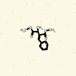 COC(=O)C(=Cc1ccccc1)C(C)C(=O)OC